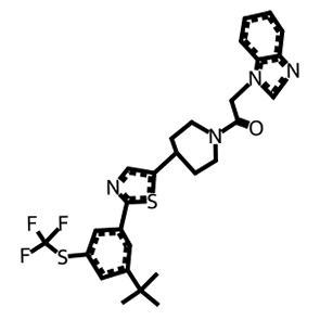 CC(C)(C)c1cc(SC(F)(F)F)cc(-c2ncc(C3CCN(C(=O)Cn4cnc5ccccc54)CC3)s2)c1